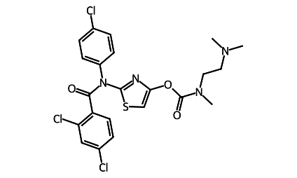 CN(C)CCN(C)C(=O)Oc1csc(N(C(=O)c2ccc(Cl)cc2Cl)c2ccc(Cl)cc2)n1